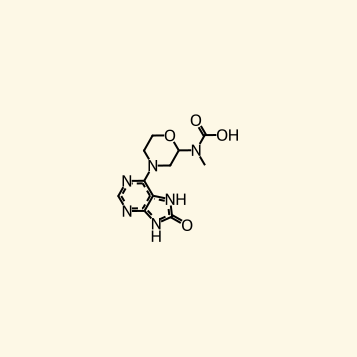 CN(C(=O)O)C1CN(c2ncnc3[nH]c(=O)[nH]c23)CCO1